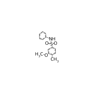 COc1cc(S(=O)(=O)Nc2ccccc2)ccc1C